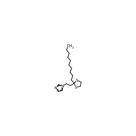 CCCCCCCCCCC1(CCn2ccnc2)SCCS1